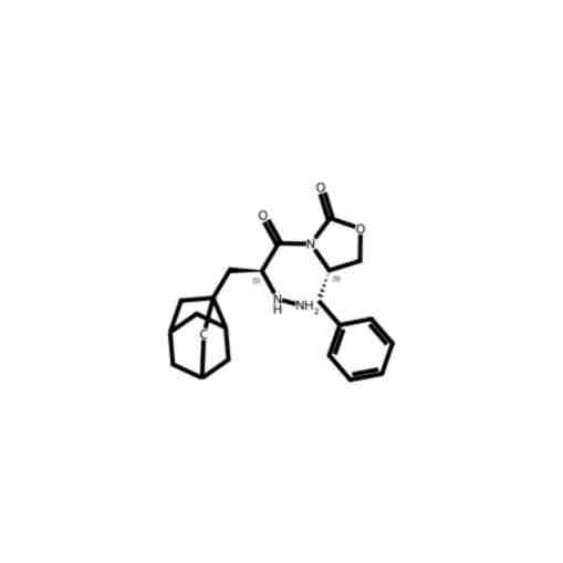 NN[C@@H](CC12CC3CC(CC1C3)C2)C(=O)N1C(=O)OC[C@@H]1Cc1ccccc1